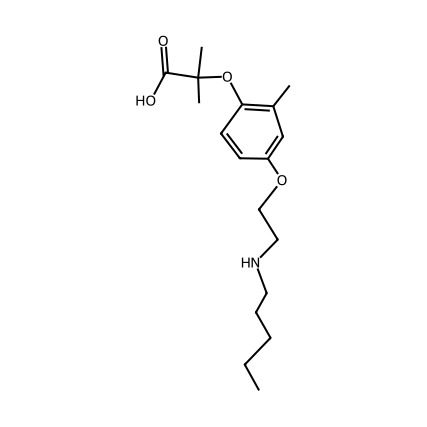 CCCCCNCCOc1ccc(OC(C)(C)C(=O)O)c(C)c1